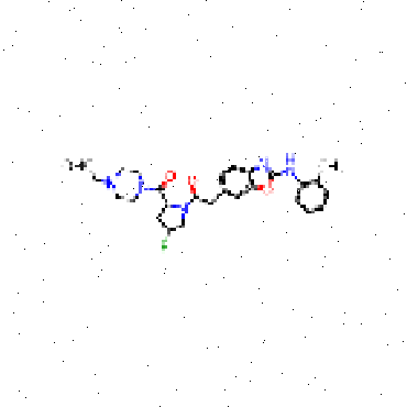 Cc1ccccc1Nc1nc2ccc(CC(=O)N3C[C@@H](F)C[C@H]3C(=O)N3CCN(CC=O)CC3)cc2o1